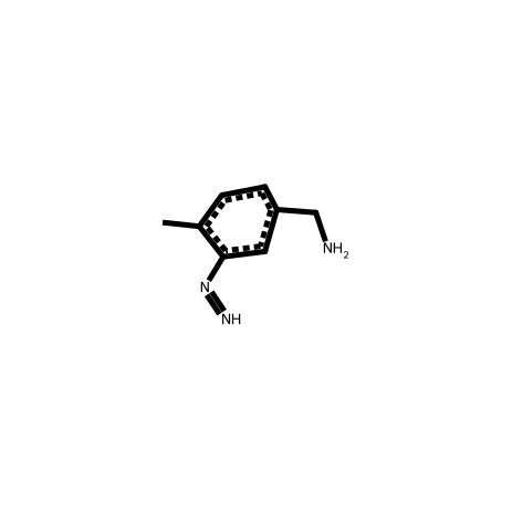 Cc1ccc(CN)cc1N=N